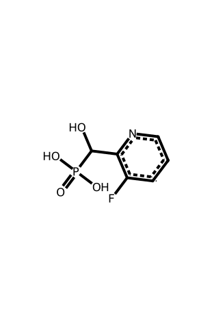 O=P(O)(O)C(O)c1ncc[c]c1F